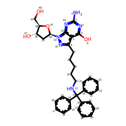 Nc1nc(O)c2c(CCCCCNC(c3ccccc3)(c3ccccc3)c3ccccc3)nn([C@H]3C[C@H](O)[C@@H](CO)O3)c2n1